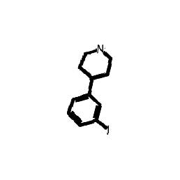 Ic1cccc(C2CC[N]CC2)c1